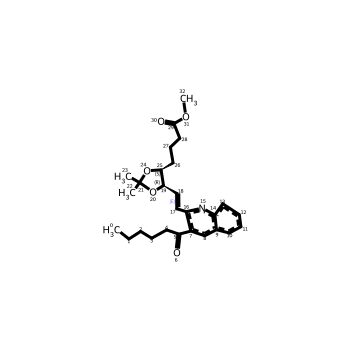 CCCCCC(=O)c1cc2ccccc2nc1/C=C/[C@H]1OC(C)(C)O[C@H]1CCCC(=O)OC